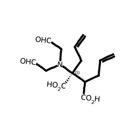 C=CCC(C(=O)O)[C@@](CC=C)(C(=O)O)N(CC=O)CC=O